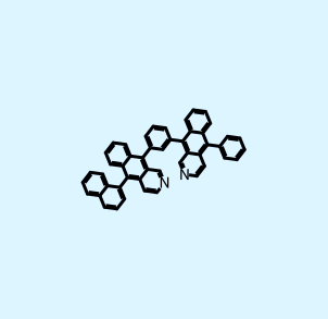 c1ccc(-c2c3ccccc3c(-c3cccc(-c4c5ccccc5c(-c5cccc6ccccc56)c5ccncc45)c3)c3cnccc23)cc1